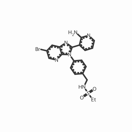 CCS(=O)(=O)NCc1ccc(-n2c(-c3cccnc3N)nc3cc(Br)cnc32)cc1